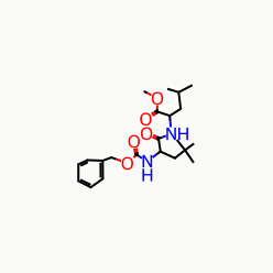 COC(=O)C(CC(C)C)NC(=O)C(CC(C)(C)C)NC(=O)OCc1ccccc1